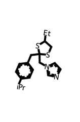 CCC1CSC(Cc2ccc(C(C)C)cc2)(Cn2ccnc2)S1